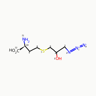 [N-]=[N+]=NCC(O)CSCC[C@H](N)C(=O)O